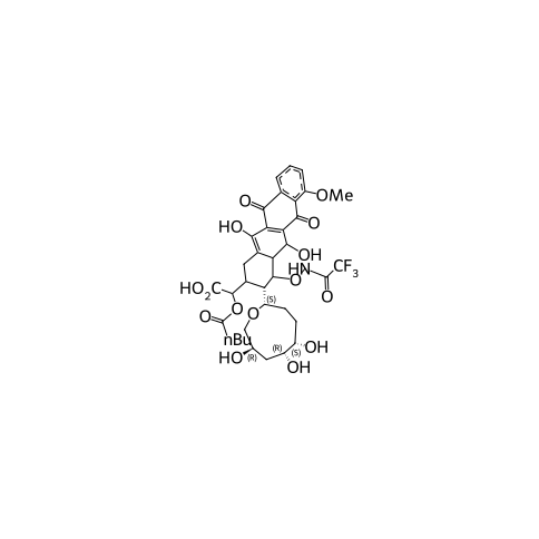 CCCCC(=O)OC(C(=O)O)C1CC2=C(O)C3=C(C(=O)c4c(OC)cccc4C3=O)C(O)C2C(ONC(=O)C(F)(F)F)C1[C@@H]1CC[C@H](O)[C@H](O)C[C@@H](O)CO1